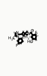 Cc1ccc(F)cc1-n1c(C)cnc1C1CC2(C1)CN(C(=O)c1cc(O)ccc1F)C2